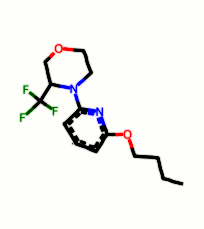 CCCCOc1c[c]cc(N2CCOCC2C(F)(F)F)n1